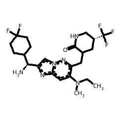 CCN(C)c1cc2nc([C@@H](N)C3CCC(F)(F)CC3)cn2nc1CC1C[C@@H](C(F)(F)F)CNC1=O